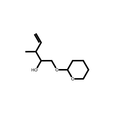 C=CC(C)C(O)COC1CCCCO1